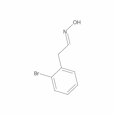 ON=CCc1ccccc1Br